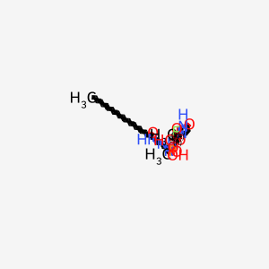 CCC=CCC=CCC=CCC=CCC=CCC=CCCC(=O)NCCNCCN(C)P(=O)(O)OC[C@H]1O[C@@H](n2ccc(=O)[nH]c2=O)[C@](C)(F)[C@@H]1O